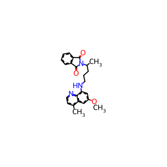 COc1cc(NCCCC(C)N2C(=O)c3ccccc3C2=O)c2nccc(C)c2c1